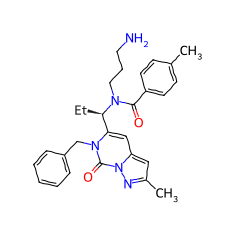 CC[C@H](c1cc2cc(C)nn2c(=O)n1Cc1ccccc1)N(CCCN)C(=O)c1ccc(C)cc1